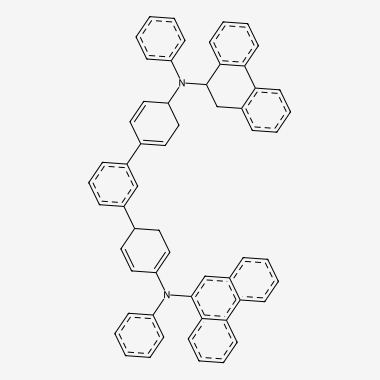 C1=CC(N(c2ccccc2)C2Cc3ccccc3-c3ccccc32)CC=C1c1cccc(C2C=CC(N(c3ccccc3)c3cc4ccccc4c4ccccc34)=CC2)c1